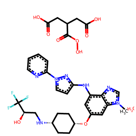 Cn1cnc2c(Nc3ccn(-c4ccccn4)n3)cc(O[C@H]3CC[C@@H](NC[C@@H](O)C(F)(F)F)CC3)cc21.O.O=C(O)CC(CC(=O)O)C(=O)OO